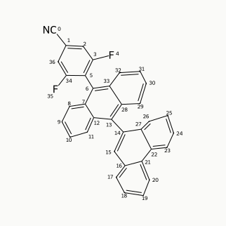 N#Cc1cc(F)c(-c2c3ccccc3c(-c3cc4ccccc4c4ccccc34)c3ccccc23)c(F)c1